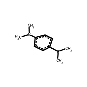 CB(C)c1ccc(N(C)C)cc1